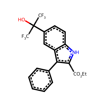 CCOC(=O)c1[nH]c2ccc(C(O)(C(F)(F)F)C(F)(F)F)cc2c1-c1ccccc1